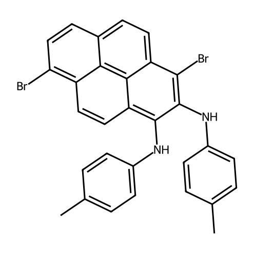 Cc1ccc(Nc2c(Br)c3ccc4ccc(Br)c5ccc(c2Nc2ccc(C)cc2)c3c45)cc1